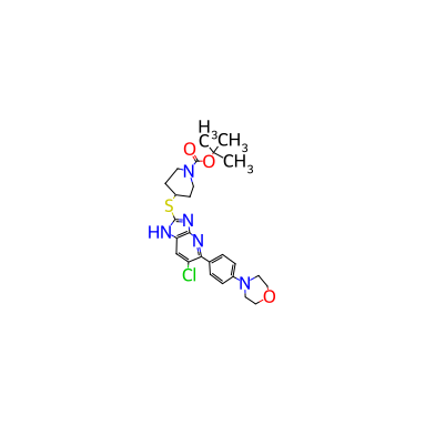 CC(C)(C)OC(=O)N1CCC(Sc2nc3nc(-c4ccc(N5CCOCC5)cc4)c(Cl)cc3[nH]2)CC1